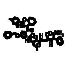 CCCC(NC(=O)[C@@H]1C[C@@H](OCc2ccccc2)CN1C(=O)C(NC(=O)c1ccc(C)cc1C)C1CCCCC1)C(=O)C(=O)NCC(=O)NC(C(N)=O)c1ccccc1